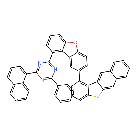 c1ccc(-c2nc(-c3cccc4ccccc34)nc(-c3cccc4oc5ccc(-c6cccc7sc8cc9ccccc9cc8c67)cc5c34)n2)cc1